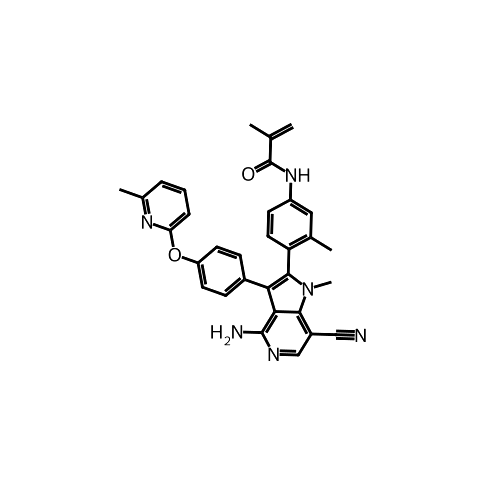 C=C(C)C(=O)Nc1ccc(-c2c(-c3ccc(Oc4cccc(C)n4)cc3)c3c(N)ncc(C#N)c3n2C)c(C)c1